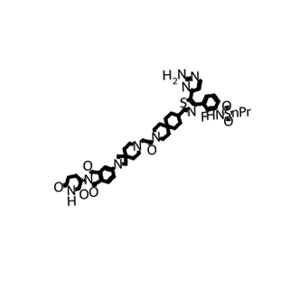 CCCS(=O)(=O)Nc1cccc(-c2nc(C3CCC4(CC3)CCN(C(=O)CN3CCC5(CC3)CN(c3ccc6c(c3)C(=O)N([C@@H]3CCC(=O)NC3=O)C6=O)C5)CC4)sc2-c2ccnc(N)n2)c1F